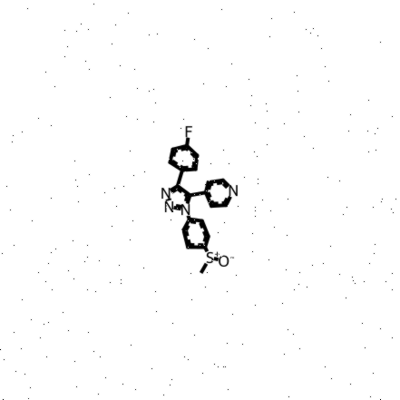 C[S+]([O-])c1ccc(-n2nnc(-c3ccc(F)cc3)c2-c2ccncc2)cc1